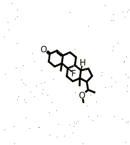 COC(C)C1CC[C@H]2C3CCC4=CC(=O)CCC4(C)[C@@]3(F)CCC12C